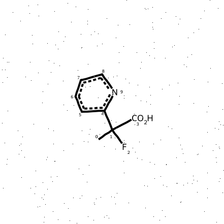 CC(F)(C(=O)O)c1ccccn1